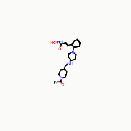 CC(C)C(=O)N1CCC(CNC2CCN(c3ccccc3C=CC(=O)NO)CC2)CC1